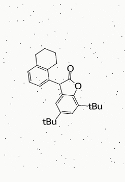 CC(C)(C)c1cc2c(c(C(C)(C)C)c1)OC(=O)C2c1cccc2c1CCCC2